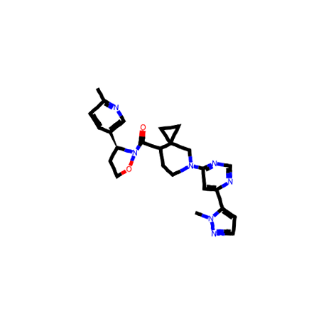 Cc1ccc([C@@H]2CCON2C(=O)C2CCN(c3cc(-c4ccnn4C)ncn3)CC23CC3)cn1